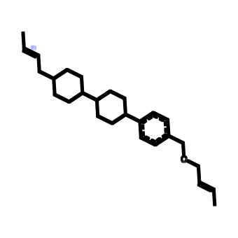 CC=CCOCc1ccc(C2CCC(C3CCC(C/C=C/C)CC3)CC2)cc1